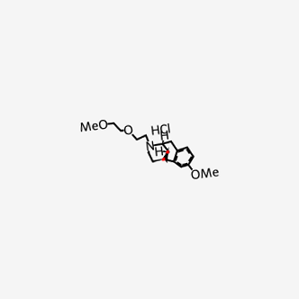 COCCOCCN1CC[C@]23CCCC[C@H]2[C@H]1Cc1ccc(OC)cc13.Cl